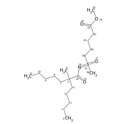 CCCCCC(C)(CCCCC)C(=O)N=S(C)(=O)CCCCC(=O)OC